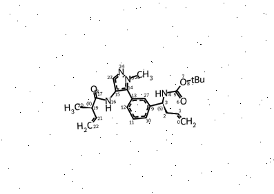 C=CC[C@H](NC(=O)OC(C)(C)C)c1cccc(-c2c(NC(=O)[C@H](C)C=C)cnn2C)c1